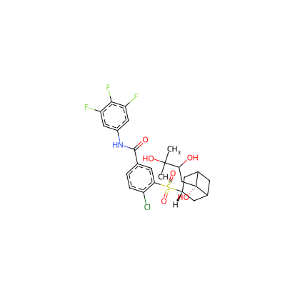 CC(C)(O)C(O)C[C@]1(O)C2CC1C[C@@H](S(=O)(=O)c1cc(C(=O)Nc3cc(F)c(F)c(F)c3)ccc1Cl)C2